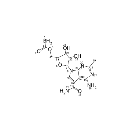 BC(=O)OCC1OC(n2cc(C(N)=O)c3c(N)nc(C)nc32)C(O)C1O